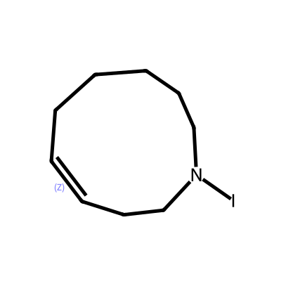 IN1CC/C=C\CCCCC1